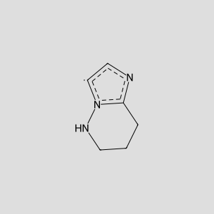 [c]1cnc2n1NCCC2